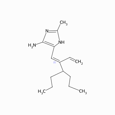 C=C/C(=C\c1[nH]c(C)nc1N)C(CCC)CCC